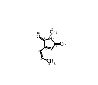 C/C=C\C1=CC(=O)N(O)C1=O